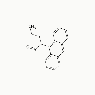 CCCC([C]=O)c1c2ccccc2cc2ccccc12